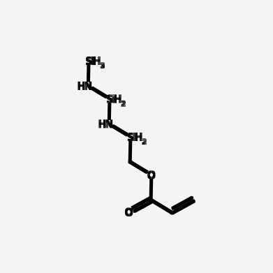 C=CC(=O)OC[SiH2]N[SiH2]N[SiH3]